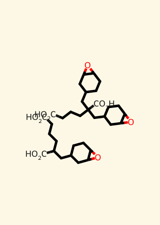 O=C(O)CCCC(CC1CCC2OC2C1)(CC1CCC2OC2C1)C(=O)O.O=C(O)CCCC(CC1CCC2OC2C1)C(=O)O